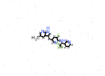 Cc1cnc2[nH]cc(Cc3cnc(NC(c4cccnc4)C(F)(F)F)c(F)c3)c2c1